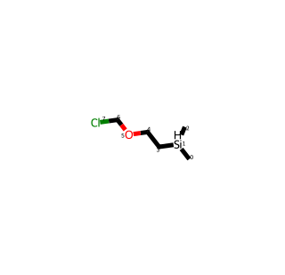 C[SiH](C)CCOCCl